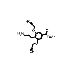 C#CCOc1cc(C(=O)OC)cc(OCC#C)c1CCCN